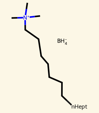 CCCCCCCCCCCCCC[N+](C)(C)C.[BH4-]